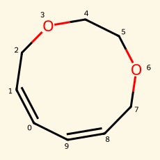 C1=C\COCCOC\C=C/1